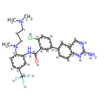 CN(C)CCCN(C)c1ccc(C(F)(F)F)cc1NC(=O)c1cc(-c2ccc3nc(N)ncc3c2)ccc1Cl